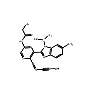 CB(O)n1c(-c2nc(NC(=O)CC#N)cnc2/B=N/C#CO)nc2ccc(C)cc21